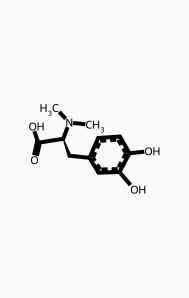 CN(C)[C@@H](Cc1ccc(O)c(O)c1)C(=O)O